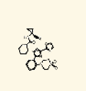 N#CC1(NC(=O)[C@@H]2CCCC[C@H]2c2oc(-c3nccs3)nc2-c2ccccc2N2CCS(=O)(=O)CC2)CC1